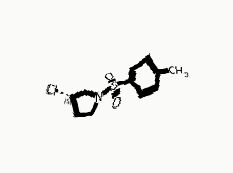 Cc1ccc(S(=O)(=O)N2CC[C@H](Cl)C2)cc1